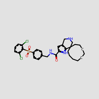 O=C(NCc1ccc(S(=O)(=O)c2c(Cl)cccc2Cl)cc1)c1cc2c([nH]1)C1(CCCCCCCCC1)CNC2